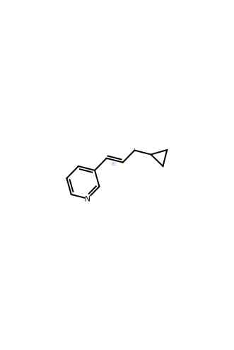 [CH](/C=C/c1cccnc1)C1CC1